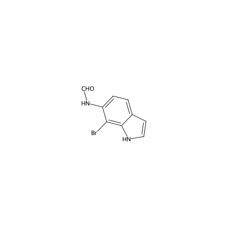 O=CNc1ccc2cc[nH]c2c1Br